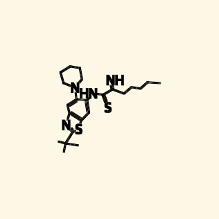 CCCCCC(=N)C(=S)Nc1cc2sc(C(C)(C)C)nc2cc1N1CCCCC1